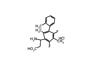 Cc1ccccc1-c1c(C)c(C(N)CC(=O)O)c(F)c(C)c1F.Cl